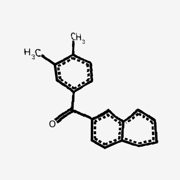 Cc1ccc(C(=O)c2ccc3ccccc3c2)cc1C